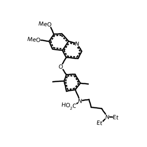 CCN(CC)CCCN(C(=O)O)c1cc(C)c(Oc2ccnc3cc(OC)c(OC)cc23)cc1C